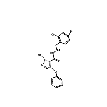 CC(C)(C)n1ncc(Oc2ccccc2)c1C(=O)NNCc1ccc(Br)cc1Cl